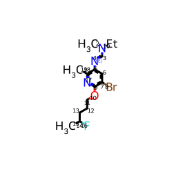 CCN(C)/C=N/c1cc(Br)c(OCCCC(C)F)nc1C